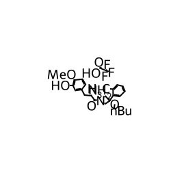 CCCCOC1(c2ccccc2C)CN(C(=O)C(N)Cc2ccc(OC)c(O)c2)C1.O=C(O)C(F)(F)F